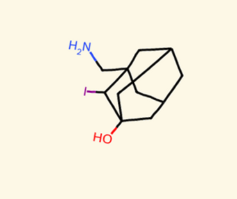 NCC12CC3CC(CC(O)(C3)C1I)C2